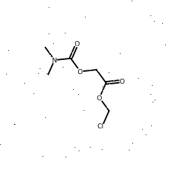 CN(C)C(=O)OCC(=O)OCCl